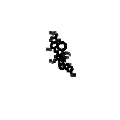 COC(=O)NC1C(=O)C[C@H](O)/C(=C/CSC(C)=O)C2=C1C#C/C=C\C#C[C@@H]2OC1OC(C)C(SC)(C(=O)c2nccc3c2[nH]c2ccc(O)cc23)C(O)C1OC